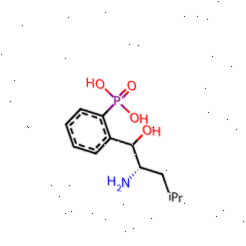 CC(C)C[C@H](N)C(O)c1ccccc1P(=O)(O)O